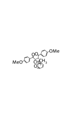 COc1ccc(C(=O)C(C)C(C)C(=O)c2ccc(OC)cc2)cc1.c1cc2cc(c1)OC2